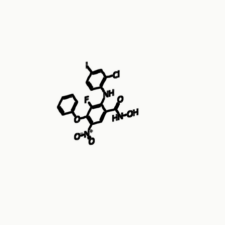 O=C(NO)c1cc([N+](=O)[O-])c(Oc2ccccc2)c(F)c1Nc1ccc(I)cc1Cl